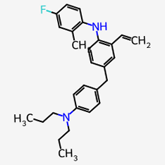 C=Cc1cc(Cc2ccc(N(CCC)CCC)cc2)ccc1Nc1ccc(F)cc1C